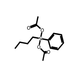 CCCC[Si](OC(C)=O)(OC(C)=O)c1ccccc1